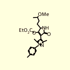 CCOC(=O)OC1=C(c2c(C)nn(-c3ccc(C)cc3)c2C)C(=O)NC1CCC(C)OC